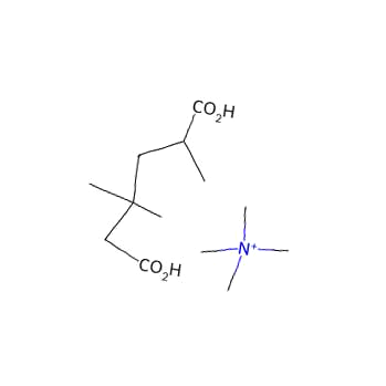 CC(CC(C)(C)CC(=O)O)C(=O)O.C[N+](C)(C)C